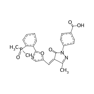 CC1=NN(c2ccc(C(=O)O)cc2)C(=O)C1=Cc1ccc(-c2ccccc2P(C)(C)=O)o1